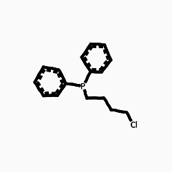 ClCCCCP(c1ccccc1)c1ccccc1